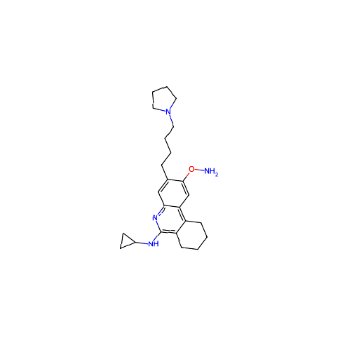 NOc1cc2c3c(c(NC4CC4)nc2cc1CCCCN1CCCC1)CCCC3